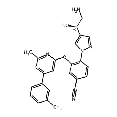 Cc1cccc(-c2cc(Oc3cc(C#N)ccc3-n3cc([C@@H](O)CN)cn3)nc(C)n2)c1